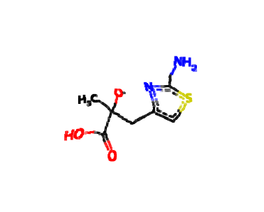 CC([O])(Cc1csc(N)n1)C(=O)O